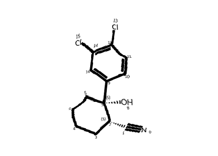 N#C[C@@H]1CCCC[C@@]1(O)c1ccc(Cl)c(Cl)c1